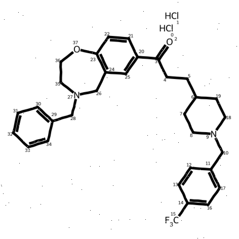 Cl.Cl.O=C(CCC1CCN(Cc2ccc(C(F)(F)F)cc2)CC1)c1ccc2c(c1)CN(Cc1ccccc1)CCO2